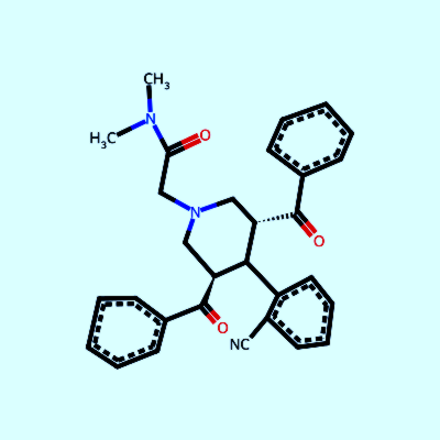 CN(C)C(=O)CN1C[C@H](C(=O)c2ccccc2)C(c2ccccc2C#N)[C@@H](C(=O)c2ccccc2)C1